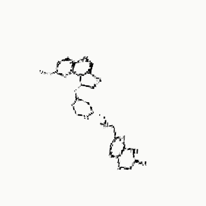 COc1ccc2ncc3c(c2n1)[C@@H](CN1CCO[C@@H](CNCc2ccc4c(n2)NC(=O)CS4)C1)CO3